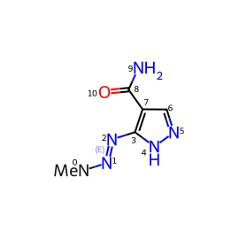 CN/N=N/c1[nH]ncc1C(N)=O